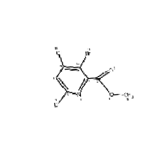 COC(=O)c1nc(Cl)cc(Cl)c1Br